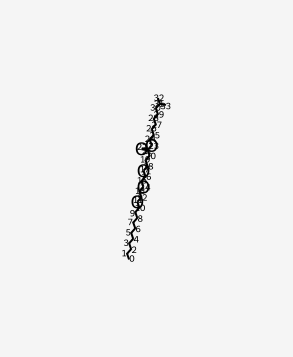 CCCCCCCCCCCOCCOCCOCCCC(=O)OCCCCCCCC(C)C